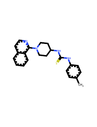 Cc1ccc(NC(=S)NC2CCN(c3nccc4ccccc34)CC2)cc1